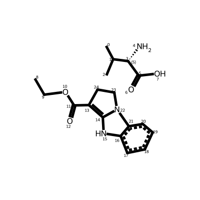 CC(C)[C@H](N)C(=O)O.CCOC(=O)C1=C2Nc3ccccc3N2CC1